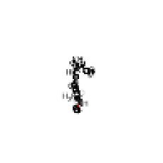 CC(=O)Nc1nc(NC2CCC(C3COc4ccc(C(=O)c5sc(NC6C7CC8CC(C7)CC6C8)nc5N)cc4O3)C2)sc1C(=O)c1ccc2c(c1)OCCO2